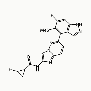 CSc1c(F)cc2[nH]ncc2c1-c1ccc2nc(NC(=O)C3CC3F)cn2n1